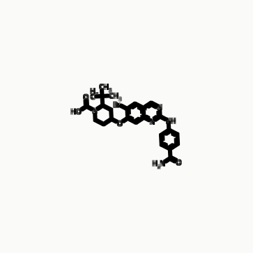 CC(C)(C)C1CC(Oc2cc3nc(Nc4ccc(C(N)=O)cc4)ncc3cc2Br)CCN1C(=O)O